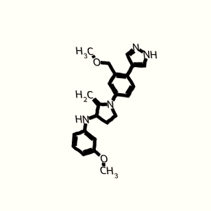 C=C1C(Nc2cccc(OC)c2)CCN1c1ccc(-c2cn[nH]c2)c(COC)c1